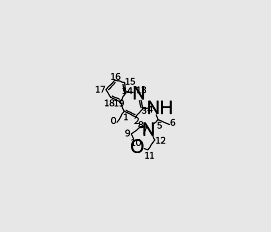 Cc1cc(NC(C)N2CCOCC2)nc2ccccc12